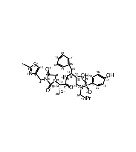 Cc1nc(CN2C(=O)CN([C@H](C(=O)N[C@@H](Cc3ccccc3)[C@@H](O)CN(CC(C)C)S(=O)(=O)c3ccc(O)cc3)C(C)C)C2=O)cs1